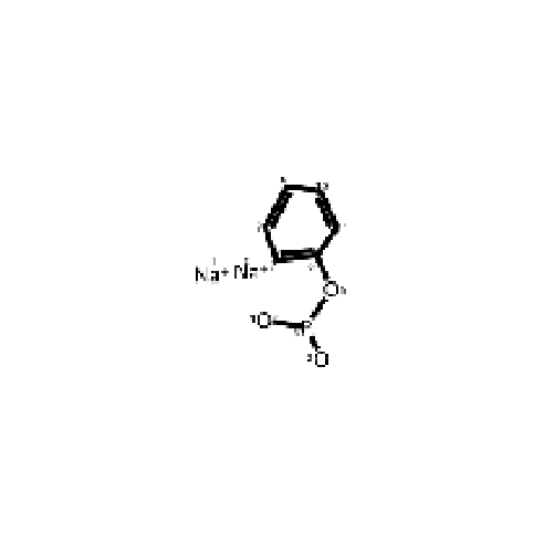 [Na+].[Na+].[O-]P([O-])Oc1ccccc1